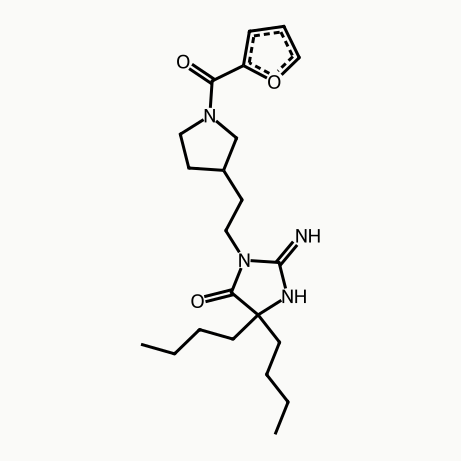 CCCCC1(CCCC)NC(=N)N(CCC2CCN(C(=O)c3ccco3)C2)C1=O